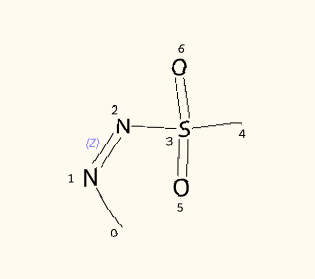 C/N=N\S(C)(=O)=O